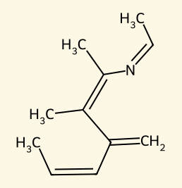 C=C(/C=C\C)/C(C)=C(C)\N=C/C